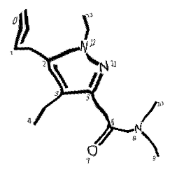 C=Cc1c(C)c(C(=O)N(C)C)nn1C